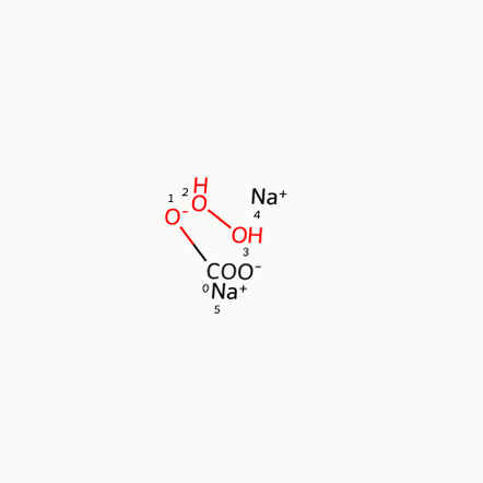 O=C([O-])[O-].OO.[Na+].[Na+]